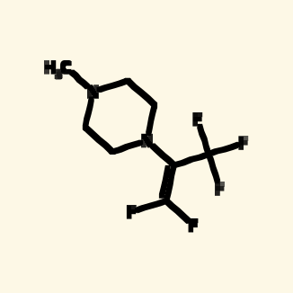 CN1CCN(C(=C(F)F)C(F)(F)F)CC1